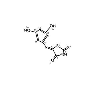 O=C1NC(=S)S/C1=C\c1cc(O)cc(O)c1